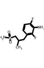 CC(Cc1ccc(F)c(N)c1F)CS(N)(=O)=O